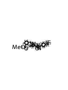 COC(=O)c1cccc(Cn2nc(-c3nc(-c4ccc(C(C)(C)F)cc4)no3)cc2C)c1